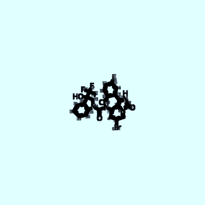 O=C(Nc1cc(Br)cn2c(=O)[nH]c(-c3cc(F)ccc3Cl)c12)N1CC(O)(C(F)(F)F)c2ccccc21